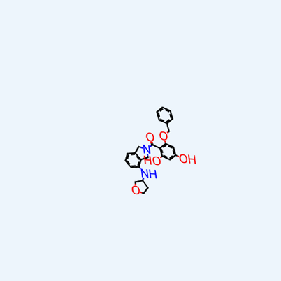 O=C(c1c(O)cc(O)cc1OCc1ccccc1)N1Cc2cccc(NC3CCOC3)c2C1